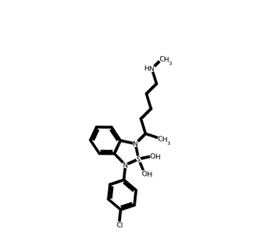 CNCCCCC(C)N1c2ccccc2N(c2ccc(Cl)cc2)S1(O)O